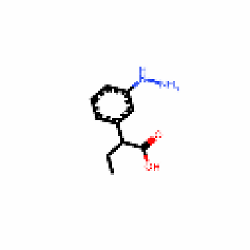 CCC(C(=O)O)c1cccc(NN)c1